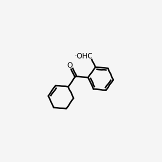 O=[C]c1ccccc1C(=O)C1C=CCCC1